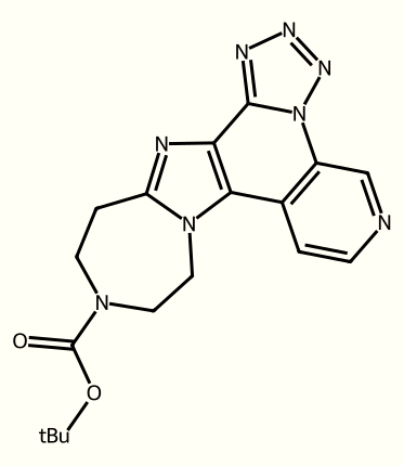 CC(C)(C)OC(=O)N1CCc2nc3c(c4ccncc4n4nnnc34)n2CC1